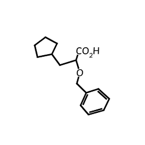 O=C(O)C(CC1CCCC1)OCc1ccccc1